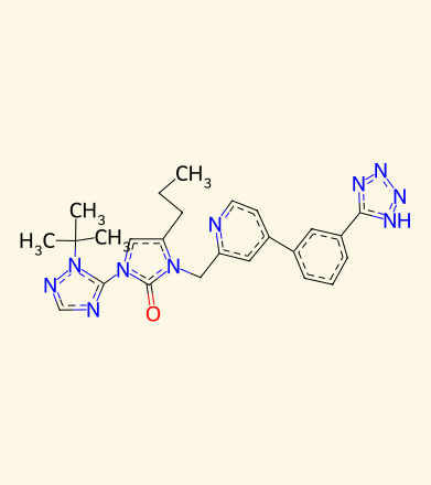 CCCc1cn(-c2ncnn2C(C)(C)C)c(=O)n1Cc1cc(-c2cccc(-c3nnn[nH]3)c2)ccn1